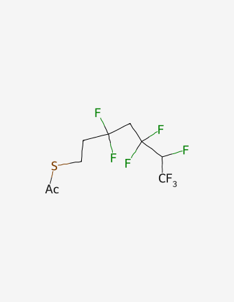 CC(=O)SCCC(F)(F)CC(F)(F)C(F)C(F)(F)F